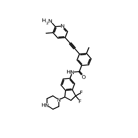 Cc1ccc(C(=O)Nc2ccc3c(c2)C(F)(F)CC3N2CCNCC2)cc1C#Cc1cnc(N)c(C)c1